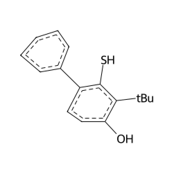 CC(C)(C)c1c(O)ccc(-c2ccccc2)c1S